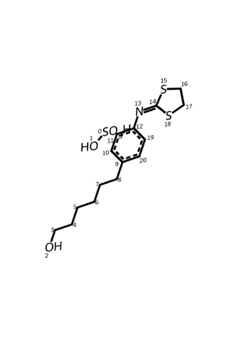 O=S(=O)(O)O.OCCCCCCc1ccc(N=C2SCCS2)cc1